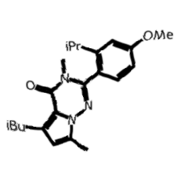 CCC(C)c1cc(C)n2nc(-c3ccc(OC)cc3C(C)C)n(C)c(=O)c12